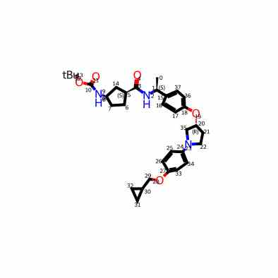 C[C@H](NC(=O)[C@H]1CC[C@@H](NC(=O)OC(C)(C)C)C1)c1ccc(O[C@@H]2CCN(c3ccc(OCC4CC4)cc3)C2)cc1